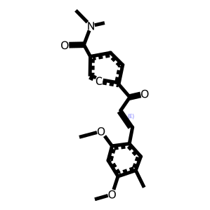 COc1cc(OC)c(/C=C/C(=O)c2ccc(C(=O)N(C)C)cc2)cc1C